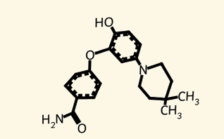 CC1(C)CCN(c2ccc(O)c(Oc3ccc(C(N)=O)cc3)c2)CC1